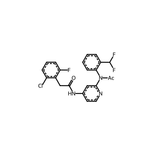 CC(=O)N(c1cc(NC(=O)Cc2c(F)cccc2Cl)ccn1)c1ccccc1C(F)F